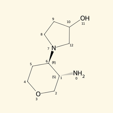 N[C@@H]1COCC[C@H]1N1CCC(O)C1